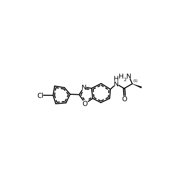 C[C@H](N)C(=O)Nc1ccc2oc(-c3ccc(Cl)cc3)nc2c1